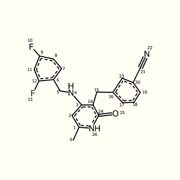 Cc1cc(NCc2ccc(F)cc2F)c(Cc2cccc(C#N)c2)c(=O)[nH]1